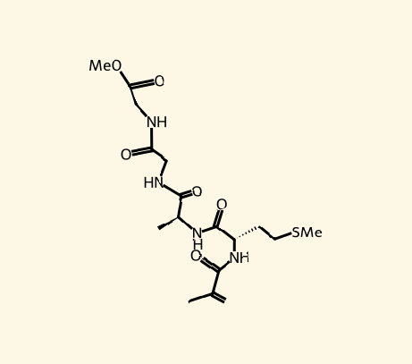 C=C(C)C(=O)N[C@@H](CCSC)C(=O)N[C@@H](C)C(=O)NCC(=O)NCC(=O)OC